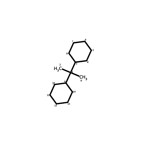 CC(C)(C1[CH]CCCC1)C1[CH]CCCC1